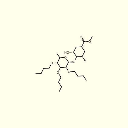 CCCCOC1[C@H](OCCCC)C(C)O[C@@H](OC2[C@H](C)CC(C(=O)OC)C[C@H]2O)[C@H]1OCCCC